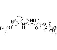 CC1(NC(=O)O[C@H]2CO[C@@H](c3cc(Nc4nccc5nc(OCC(F)F)cn45)n[nH]3)[C@@H]2F)CC1